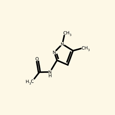 CC(=O)Nc1cc(C)n(C)n1